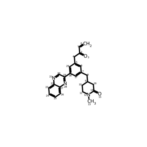 C=CC(=O)Cc1cc(CC2CCN(C)C(=O)C2)cc(-c2cnc3ccccc3n2)c1